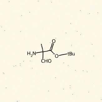 CC(C)(C)OC(=O)C(C)(N)C=O